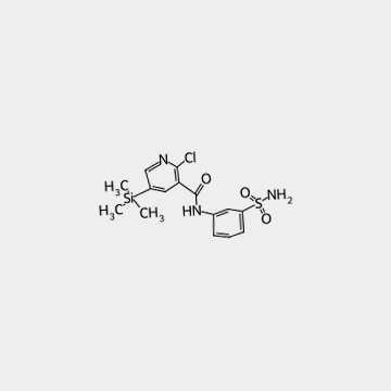 C[Si](C)(C)c1cnc(Cl)c(C(=O)Nc2cccc(S(N)(=O)=O)c2)c1